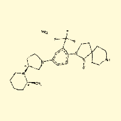 C[C@H]1CCCCN1[C@H]1CCN(c2ccc(N3CCC4(CCNCC4)C3=O)c(C(F)(F)F)c2)C1.Cl